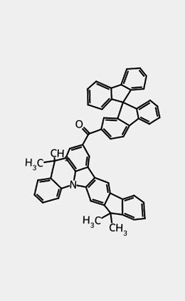 CC1(C)c2ccccc2-c2cc3c4cc(C(=O)c5ccc6c(c5)C5(c7ccccc7-c7ccccc75)c5ccccc5-6)cc5c4n(c3cc21)-c1ccccc1C5(C)C